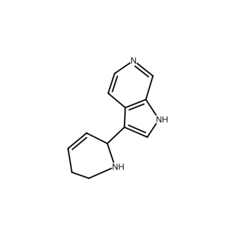 C1=CC(c2c[nH]c3cnccc23)NCC1